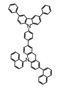 c1ccc(-c2ccc3c(c2)c2cc(-c4ccccc4)ccc2n3-c2ccc(-c3ccc4c(c3)Cc3cc(-c5cccc6ccccc56)ccc3N4c3cccc4ccccc34)cc2)cc1